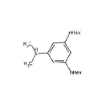 CCCCCCc1cc(CCCCCC)cc([SiH](C)C)c1